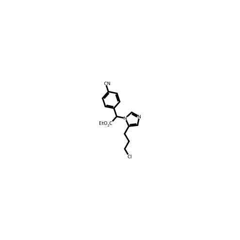 CCOC(=O)C(c1ccc(C#N)cc1)n1cncc1CCCCl